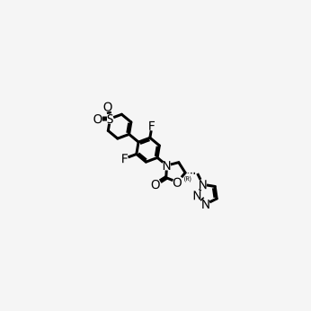 O=C1O[C@@H](Cn2ccnn2)CN1c1cc(F)c(C2=CCS(=O)(=O)CC2)c(F)c1